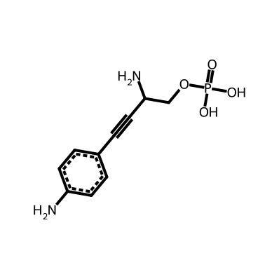 Nc1ccc(C#CC(N)COP(=O)(O)O)cc1